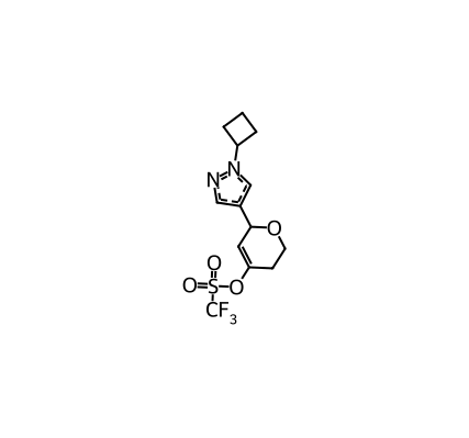 O=S(=O)(OC1=CC(c2cnn(C3CCC3)c2)OCC1)C(F)(F)F